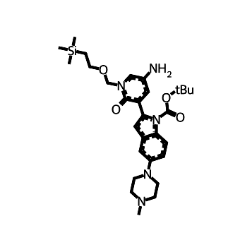 CN1CCN(c2ccc3c(c2)cc(-c2cc(N)cn(COCC[Si](C)(C)C)c2=O)n3C(=O)OC(C)(C)C)CC1